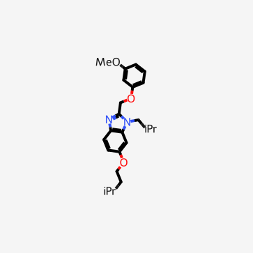 COc1cccc(OCc2nc3ccc(OCCC(C)C)cc3n2CC(C)C)c1